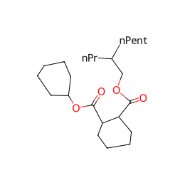 CCCCCC(CCC)COC(=O)C1CCCCC1C(=O)OC1CCCCC1